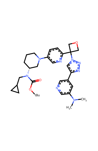 CN(C)c1cncc(-c2cn(C3(c4ccc(N5CCC[C@@H](N(CC6CC6)C(=O)OC(C)(C)C)C5)cn4)COC3)nn2)c1